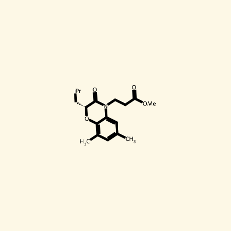 COC(=O)CCN1C(=O)[C@@H](CC(C)C)Oc2c(C)cc(C)cc21